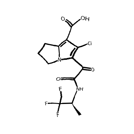 C[C@H](NC(=O)C(=O)c1c(Cl)c(C(=O)O)c2n1CCC2)C(F)(F)F